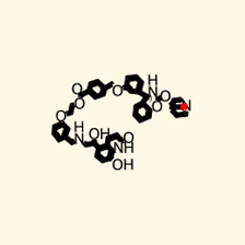 O=C(N[C@@H](c1ccccc1)c1cccc(OCc2ccc(C(=O)OCCOc3cccc(CNCC(O)c4ccc(O)c5[nH]c(=O)ccc45)c3)cc2)c1)OC1CN2CCC1CC2